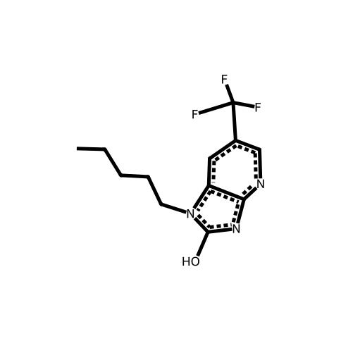 CCCCCn1c(O)nc2ncc(C(F)(F)F)cc21